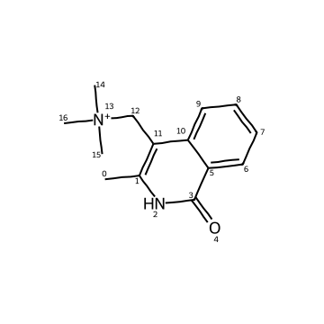 Cc1[nH]c(=O)c2ccccc2c1C[N+](C)(C)C